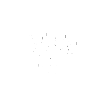 CC(C(=O)O)N(C(=O)OC(C)(C)C)C(=O)OC(C)(C)C